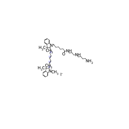 CN1/C(=C/C=C/C=C/C=C/C2=[N+](CCCCCC(=O)NCCCNCCCCN)c3ccccc3C2(C)C)C(C)(C)c2ccccc21.[I-]